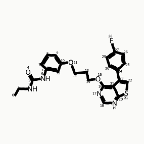 CCNC(=O)Nc1cccc(OCCCOc2ncnc3scc(-c4ccc(F)cc4)c23)c1